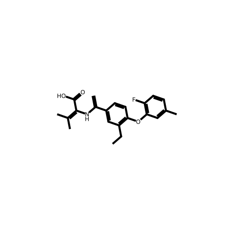 C=C(NC(C(=O)O)=C(C)C)c1ccc(Oc2cc(C)ccc2F)c(CC)c1